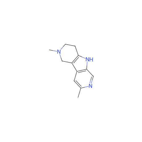 Cc1cc2c3c([nH]c2cn1)CCN(C)C3